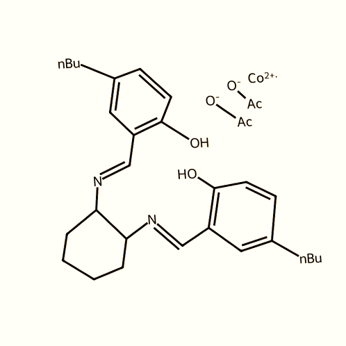 CC(=O)[O-].CC(=O)[O-].CCCCc1ccc(O)c(C=NC2CCCCC2N=Cc2cc(CCCC)ccc2O)c1.[Co+2]